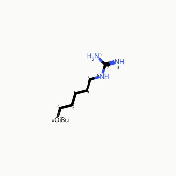 CC(C)COCCCCCNC(=N)N